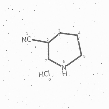 Cl.N#CC1CCCNC1